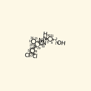 OCCc1ccc(Nc2ncc3c(n2)-c2ccccc2[C@H](c2ccc(Cl)c(Cl)c2)C3)cc1